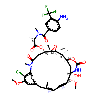 COc1cc2cc(c1Cl)N(C)C(=O)C[C@H](OC(=O)[C@H](C)N(C)C(=O)c1ccc(N)c(C(F)(F)F)c1)[C@]1(C)O[C@H]1[C@H](C)[C@@H]1C[C@@](O)(NC(=O)O1)[C@H](OC)/C=C/C=C(\C)C2